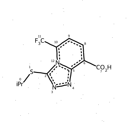 CC(C)Sc1nnc2c(C(=O)O)ccc(C(F)(F)F)n12